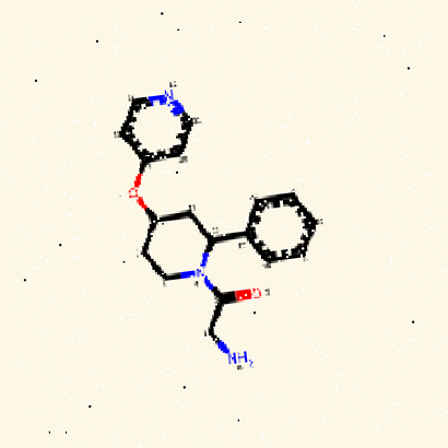 NCC(=O)N1CCC(Oc2ccncc2)CC1c1ccccc1